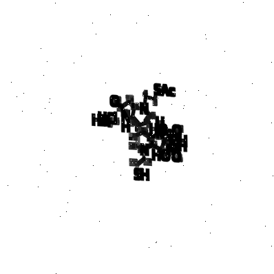 Br.CC(=O)SCCN1C=CC=C2NC(=O)CC21.Cl.O=P(O)(O)C1(P(=O)(O)O)CC2C(=CC=CN2CCS)N1